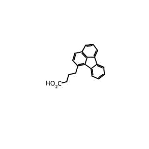 O=C(O)CCCc1ccc2cccc3c2c1-c1ccccc1-3